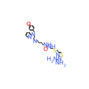 COc1ccc(CN(CCN(C)CCCCNC(=O)NCCSCc2csc(N=C(N)N)n2)c2ccccn2)cc1